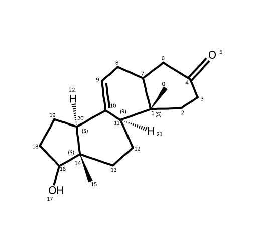 C[C@]12CCC(=O)CC1CC=C1[C@@H]2CC[C@]2(C)C(O)CC[C@@H]12